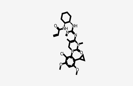 C=CC(=O)N[C@H]1CCCC[C@H]1N/C(N=C)=N/C1=C(C)CN(c2c(Cl)c(OC)cc(OC)c2C2CC2)C(=O)N1C